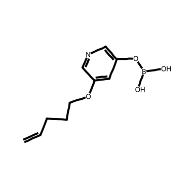 C=CCCCOc1cncc(OB(O)O)c1